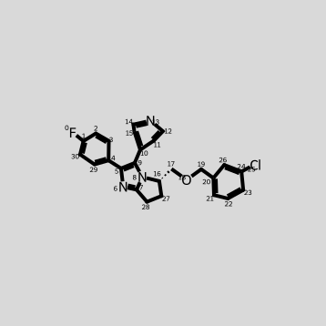 Fc1ccc(-c2nc3n(c2-c2ccncc2)[C@H](COCc2cccc(Cl)c2)CC3)cc1